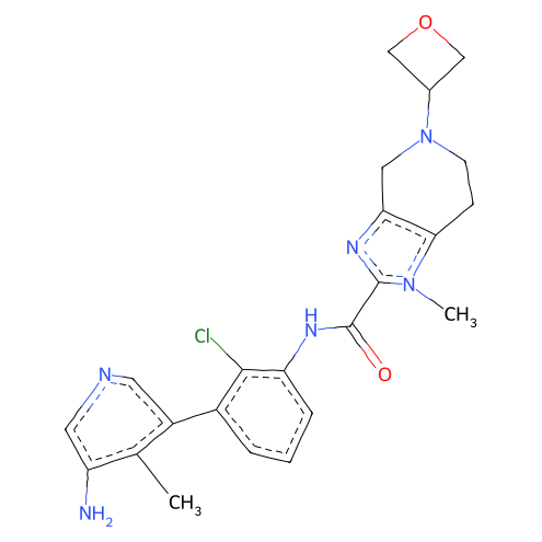 Cc1c(N)cncc1-c1cccc(NC(=O)c2nc3c(n2C)CCN(C2COC2)C3)c1Cl